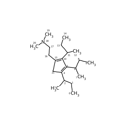 CCC(C)C1=C(C(C)CC)C(C(C)CC)=C(CCN(C)C)C1